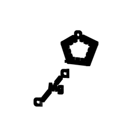 [Cl][Mg][Cl].[c]1ccoc1